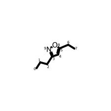 CCCc1cc(CC)on1